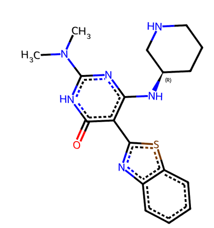 CN(C)c1nc(N[C@@H]2CCCNC2)c(-c2nc3ccccc3s2)c(=O)[nH]1